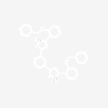 c1ccc(COc2ccccc2-c2cc(-c3cccc(-c4cc(-c5ccccc5OCc5ccccc5)[nH]n4)c3)n[nH]2)cc1